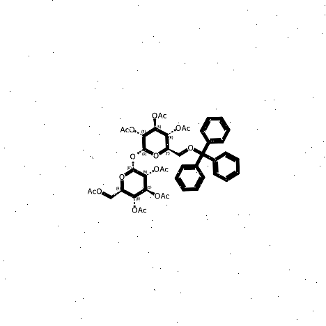 CC(=O)OC[C@H]1O[C@H](O[C@H]2O[C@H](COC(c3ccccc3)(c3ccccc3)c3ccccc3)[C@@H](OC(C)=O)[C@H](OC(C)=O)[C@H]2OC(C)=O)[C@H](OC(C)=O)[C@@H](OC(C)=O)[C@@H]1OC(C)=O